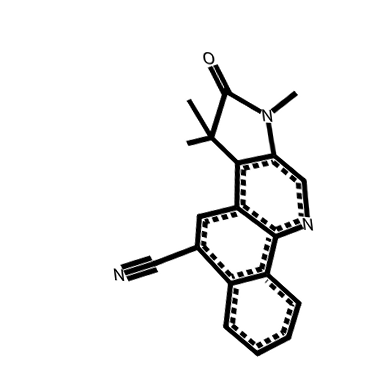 CN1C(=O)C(C)(C)c2c1cnc1c2cc(C#N)c2ccccc21